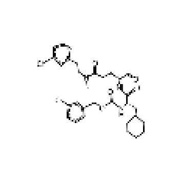 CN(CCc1cccc(Cl)c1)C(=O)CC[C@@H](C=O)NC(=O)[C@H](CC1CCCCC1)NC(=O)OCc1cccc(Cl)c1